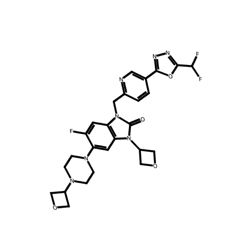 O=c1n(Cc2ccc(-c3nnc(C(F)F)o3)cn2)c2cc(F)c(N3CCN(C4COC4)CC3)cc2n1C1COC1